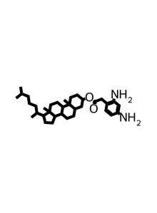 CC(C)CCCC(C)C1CCC2C3CCC4CC(OC(=O)Cc5ccc(N)cc5N)CCC4(C)C3CCC12C